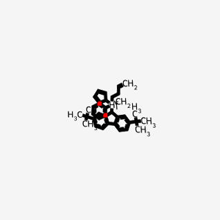 C=CC[CH2][Hf](=[CH2])([c]1ccccc1)([CH]1C=CC=C1)[CH]1c2cc(C(C)(C)C)ccc2-c2ccc(C(C)(C)C)cc21